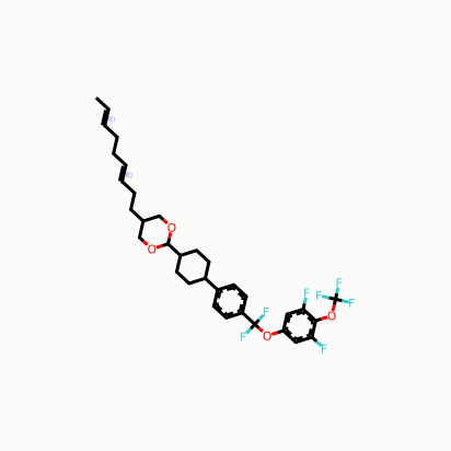 C/C=C/CC/C=C/CCC1COC(C2CCC(c3ccc(C(F)(F)Oc4cc(F)c(OC(F)(F)F)c(F)c4)cc3)CC2)OC1